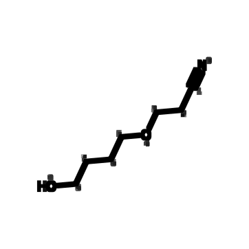 N#CCCOCCCCO